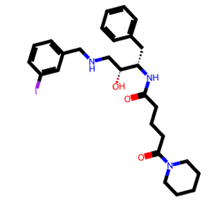 O=C(CCCC(=O)N1CCCCC1)N[C@@H](Cc1ccccc1)[C@H](O)CNCc1cccc(I)c1